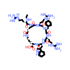 CCN[C@@H](CCCNC(=N)N)C(=O)N[C@H]1CCC(=O)NCCC[C@@H](C(=O)O)NC(=O)[C@H](Cc2c[nH]c3ccccc23)NC(=O)[C@H](CCCNC(=N)N)NC(=O)[C@@H](Cc2ccccc2)NC(=O)[C@H](CCCNC(=N)N)NC1=O